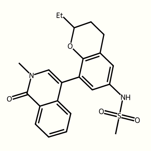 CCC1CCc2cc(NS(C)(=O)=O)cc(-c3cn(C)c(=O)c4ccccc34)c2O1